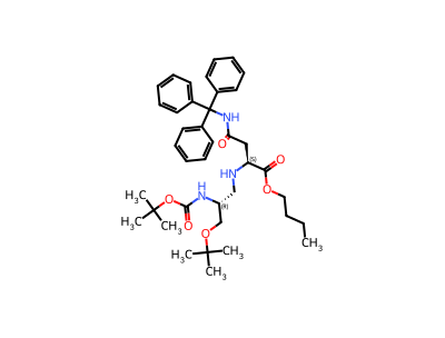 CCCCOC(=O)[C@H](CC(=O)NC(c1ccccc1)(c1ccccc1)c1ccccc1)NC[C@H](COC(C)(C)C)NC(=O)OC(C)(C)C